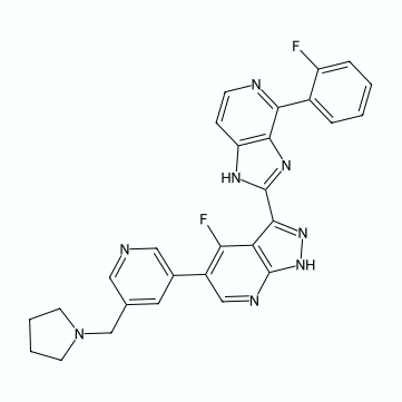 Fc1ccccc1-c1nccc2[nH]c(-c3n[nH]c4ncc(-c5cncc(CN6CCCC6)c5)c(F)c34)nc12